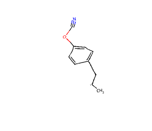 C[C]Cc1ccc(OC#N)cc1